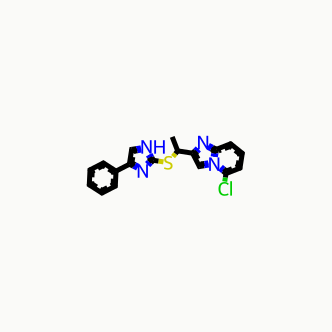 CC(Sc1nc(-c2ccccc2)c[nH]1)c1cn2c(Cl)cccc2n1